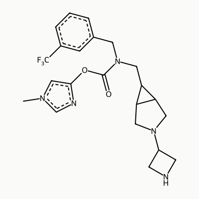 Cn1cnc(OC(=O)N(Cc2cccc(C(F)(F)F)c2)CC2C3CN(C4CNC4)CC23)c1